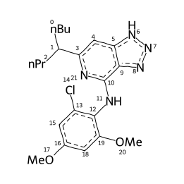 CCCCC(CCC)c1cc2[nH]nnc2c(Nc2c(Cl)cc(OC)cc2OC)n1